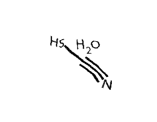 N#CS.O